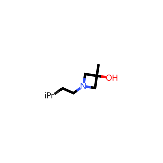 CC(C)CCN1CC(C)(O)C1